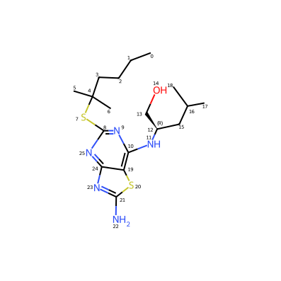 CCCCC(C)(C)Sc1nc(N[C@@H](CO)CC(C)C)c2sc(N)nc2n1